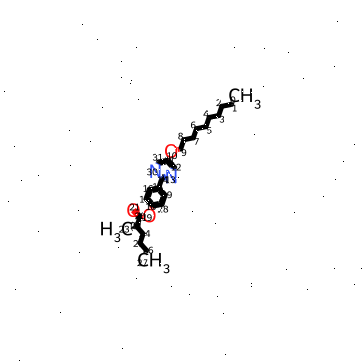 CCCCCCCCCCOc1cnc(-c2ccc(OC(=O)[C@@H](C)CCCC)cc2)nc1